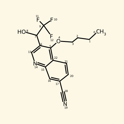 CCCCOc1c(C(O)C(F)(F)F)cnc2cc(C#N)ccc12